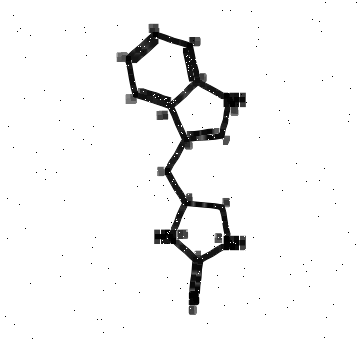 S=C1NCC(Cc2c[nH]c3ccccc23)N1